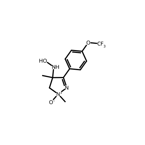 CC1(NO)C[N+](C)([O-])N=C1c1ccc(OC(F)(F)F)cc1